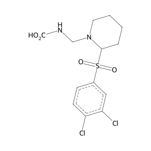 O=C(O)NCN1CCCCC1S(=O)(=O)c1ccc(Cl)c(Cl)c1